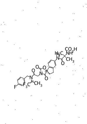 C[C@H](N(Cc1ccc(F)cc1)C(=O)CN1C(=O)O[C@@]2(CCc3cc(NC(=O)C(C)(C)NC(=O)O)ccc32)C1=O)C(F)(F)F